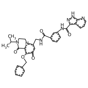 CC(C)N1CCn2c(CNC(=O)c3cccc(NC(=O)c4n[nH]c5ncccc45)c3)cc(=O)c(OCc3ccccc3)c2C1=O